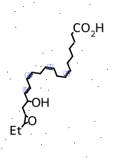 CCC1OC1CC(O)/C=C/C=C\C/C=C\C/C=C\CCCCCC(=O)O